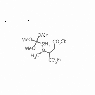 CCOC(=O)CC(C(=O)OCC)N(C)[SiH2]C(OC)(OC)OC